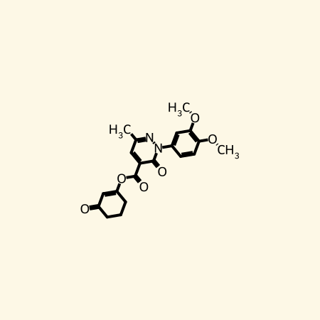 COc1ccc(-n2nc(C)cc(C(=O)OC3=CC(=O)CCC3)c2=O)cc1OC